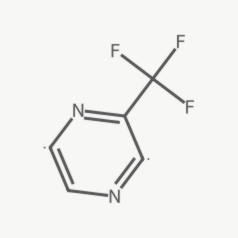 FC(F)(F)c1[c]nc[c]n1